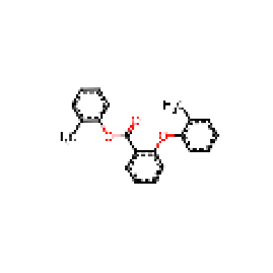 Cc1ccccc1OC(=O)c1ccccc1Oc1ccccc1C